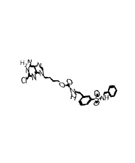 Nc1nc(Cl)nc2c1ncn2CCCCOC(=O)NCc1cccc(S(=O)(=O)NCc2ccccc2)c1